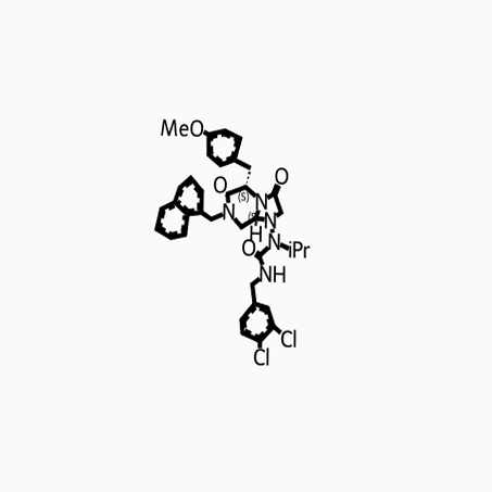 COc1ccc(C[C@H]2C(=O)N(Cc3cccc4ccccc34)C[C@H]3N2C(=O)CN3N(C(=O)NCc2ccc(Cl)c(Cl)c2)C(C)C)cc1